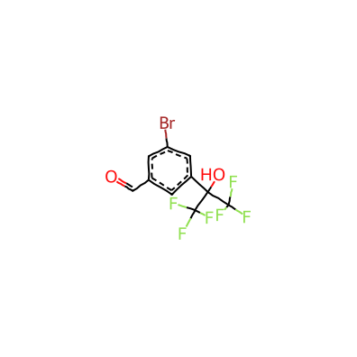 O=Cc1cc(Br)cc(C(O)(C(F)(F)F)C(F)(F)F)c1